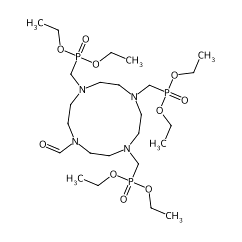 CCOP(=O)(CN1CCN(C=O)CCN(CP(=O)(OCC)OCC)CCN(CP(=O)(OCC)OCC)CC1)OCC